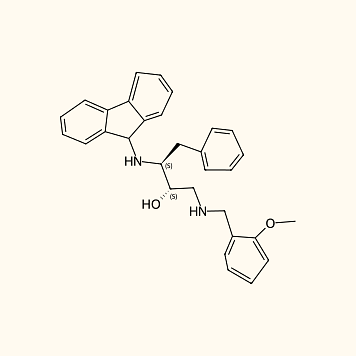 COc1ccccc1CNC[C@H](O)[C@H](Cc1ccccc1)NC1c2ccccc2-c2ccccc21